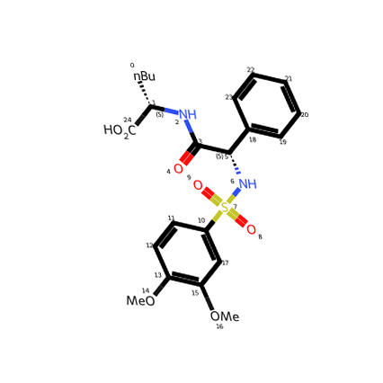 CCCC[C@H](NC(=O)[C@@H](NS(=O)(=O)c1ccc(OC)c(OC)c1)c1ccccc1)C(=O)O